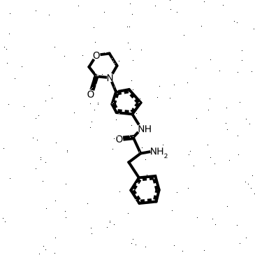 NC(Cc1ccccc1)C(=O)Nc1ccc(N2CCOCC2=O)cc1